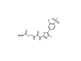 CNC(=O)CCNC(=O)Nc1nc(C)c(-c2ccc(S(C)(=O)=O)c(F)c2)s1